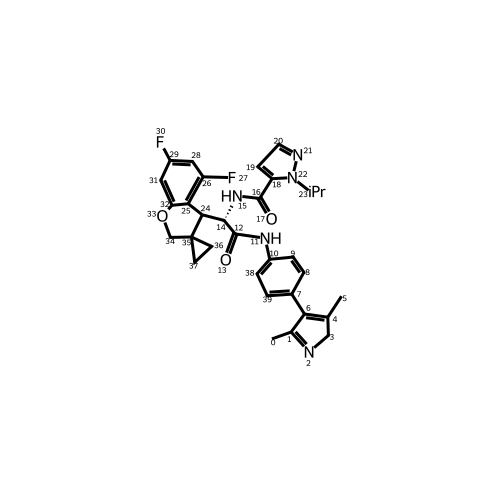 CC1=NCC(C)=C1c1ccc(NC(=O)[C@@H](NC(=O)c2ccnn2C(C)C)C2c3c(F)cc(F)cc3OCC23CC3)cc1